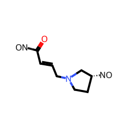 O=NC(=O)/C=C/CN1CC[C@@H](N=O)C1